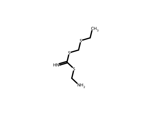 CCSCSC(=N)SCN